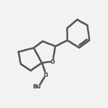 CCC(C)OC12CCCC1CC(C1C=CCCC1)O2